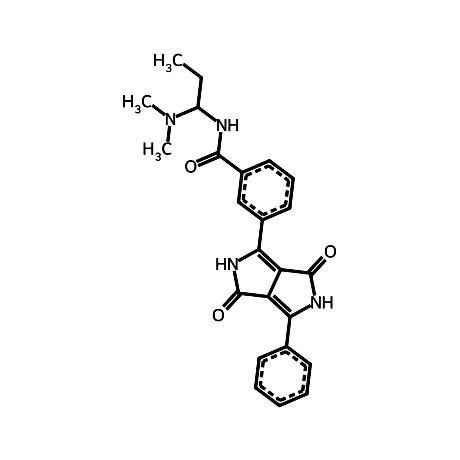 CCC(NC(=O)c1cccc(C2=C3C(=O)NC(c4ccccc4)=C3C(=O)N2)c1)N(C)C